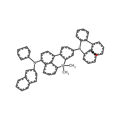 C[Si]1(C)c2cc(N(c3ccccc3)c3ccccc3-c3ccccc3)ccc2-c2ccc(N(c3ccccc3)c3ccc4ccccc4c3)c3cccc1c23